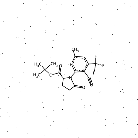 Cc1cc(C(F)(F)F)c(C#N)c(N2C(=O)CC[C@H]2C(=O)OC(C)(C)C)n1